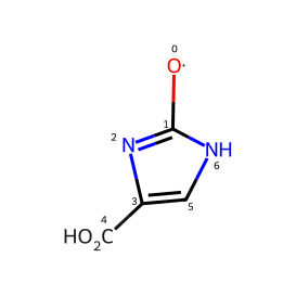 [O]c1nc(C(=O)O)c[nH]1